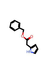 O=C(Cc1ccc[nH]1)OCc1ccccc1